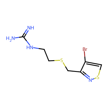 N=C(N)NCCSCc1nscc1Br